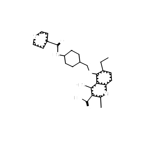 CCc1ccc2nc(C)c(C(=O)O)c(N)c2c1OCC1CCC(NC(=O)c2ccncc2)CC1